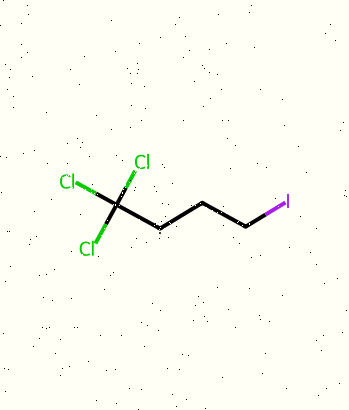 ClC(Cl)(Cl)[CH]CCI